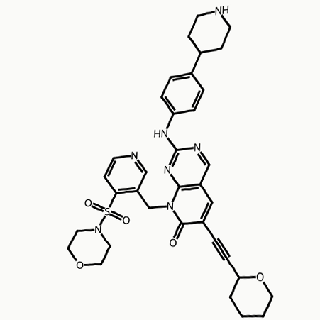 O=c1c(C#CC2CCCCO2)cc2cnc(Nc3ccc(C4CCNCC4)cc3)nc2n1Cc1cnccc1S(=O)(=O)N1CCOCC1